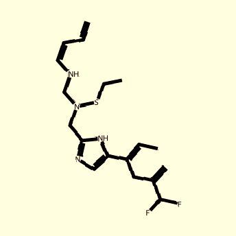 C=C/C=C\NCN(Cc1ncc(C(=CC)CC(=C)C(F)F)[nH]1)SCC